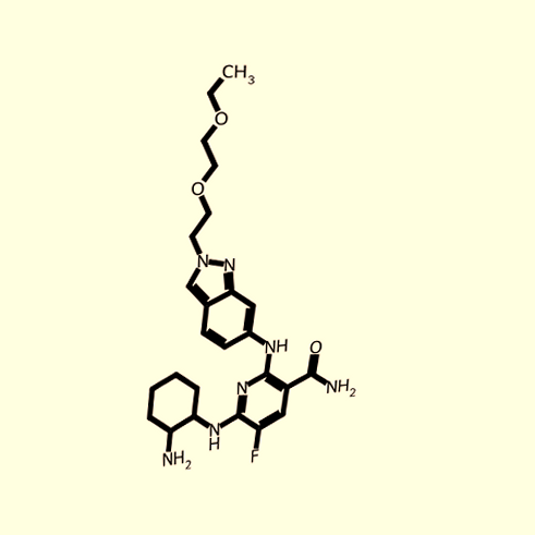 CCOCCOCCn1cc2ccc(Nc3nc(NC4CCCCC4N)c(F)cc3C(N)=O)cc2n1